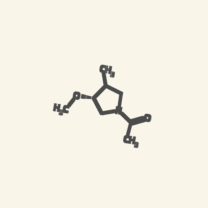 CO[C@H]1CN(C(C)=O)CC1C